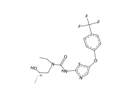 CCN(C[C@H](C)O)C(=O)Nc1ncc(Oc2ccc(C(F)(F)F)cc2)s1